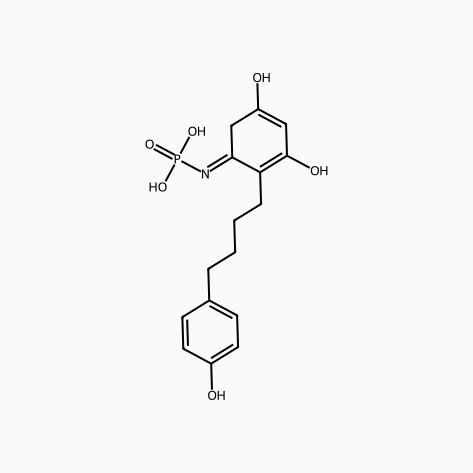 O=P(O)(O)N=C1CC(O)=CC(O)=C1CCCCc1ccc(O)cc1